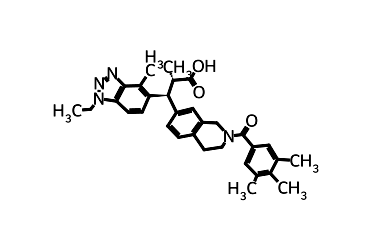 CCn1nnc2c(C)c([C@H](c3ccc4c(c3)CN(C(=O)c3cc(C)c(C)c(C)c3)CC4)[C@H](C)C(=O)O)ccc21